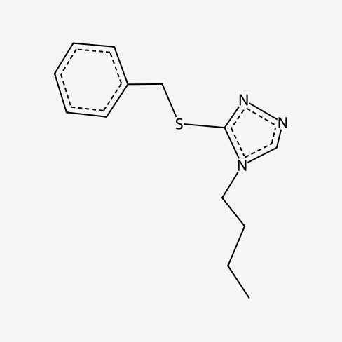 CCCCn1cnnc1SCc1ccccc1